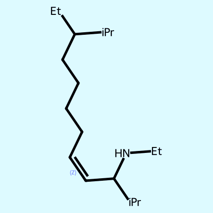 CCNC(/C=C\CCCCC(CC)C(C)C)C(C)C